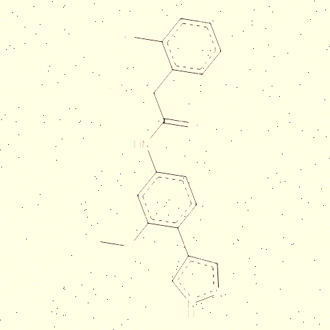 COc1cc(NC(=O)[C@H](N)c2ccccc2Cl)ccc1-c1cn[nH]c1